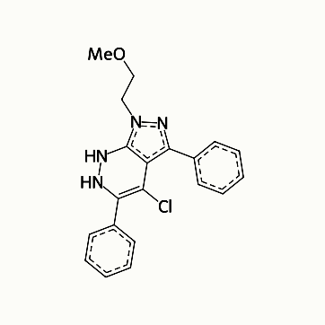 COCCn1nc(-c2ccccc2)c2c1NNC(c1ccccc1)=C2Cl